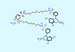 CN1Cc2c(Cl)cc(Cl)cc2C(c2cccc(S(=O)(=O)NCCOCCOCCOCCNS(=O)(=O)C3=CC=CC(CCOCCOCCOCCNS(=O)(=O)c4cccc(C5CN(C)Cc6c(Cl)cc(Cl)cc65)c4)(S(N)(=O)=O)C3)c2)C1